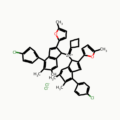 Cc1ccc(C2=Cc3c(cc(C)c(C)c3-c3ccc(Cl)cc3)[CH]2[Zr+2](=[C]2CCC2)[CH]2C(c3ccc(C)o3)=Cc3c2cc(C)c(C)c3-c2ccc(Cl)cc2)o1.[Cl-].[Cl-]